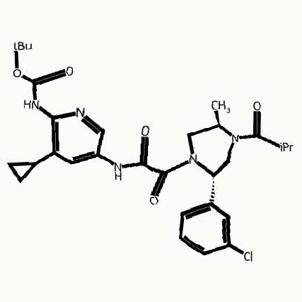 CC(C)C(=O)N1C[C@H](c2cccc(Cl)c2)N(C(=O)C(=O)Nc2cnc(NC(=O)OC(C)(C)C)c(C3CC3)c2)C[C@H]1C